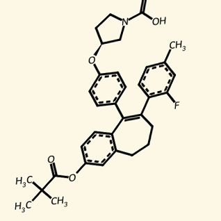 Cc1ccc(C2=C(c3ccc(O[C@H]4CCN(C(=O)O)C4)cc3)c3ccc(OC(=O)C(C)(C)C)cc3CCC2)c(F)c1